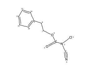 N#CN(Cl)C(=O)OCCc1ccccc1